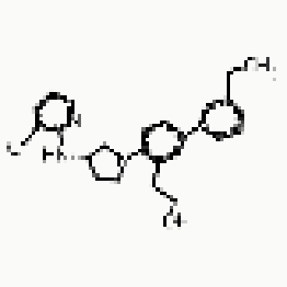 CCc1[c]ccc(-c2ccc(N3CC[C@H](Nc4ncccc4Cl)C3)c(CCO)c2)c1